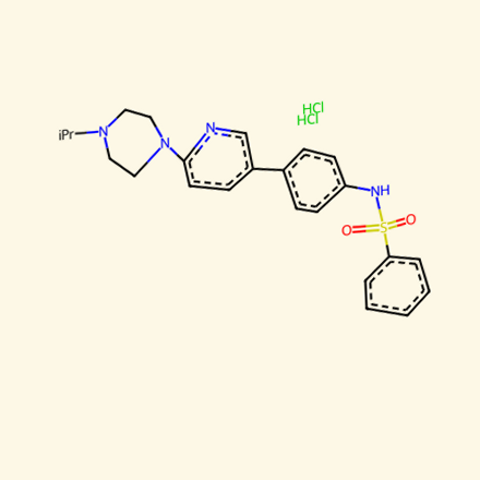 CC(C)N1CCN(c2ccc(-c3ccc(NS(=O)(=O)c4ccccc4)cc3)cn2)CC1.Cl.Cl